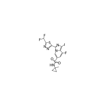 CC1(NS(=O)(=O)c2cc(F)c3c(I)nc(-c4nnc(C(F)F)s4)n3c2)CC1